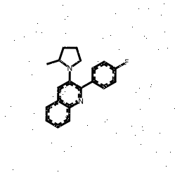 CC1CCCN1c1cc2ccccc2nc1-c1ccc(F)cc1